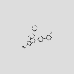 Cc1cc2nc(-c3ccc(-c4cccc(Cl)c4)cc3)n(CCN3CCCCC3)c(=O)c2s1